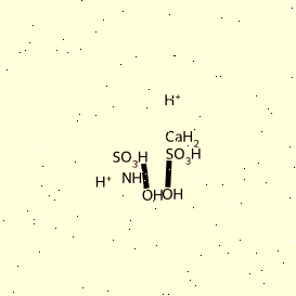 N.O=S(=O)(O)O.O=S(=O)(O)O.[CaH2].[H+].[H+]